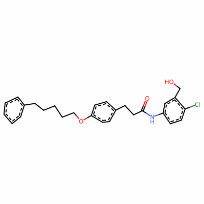 O=C(CCc1ccc(OCCCCCc2ccccc2)cc1)Nc1ccc(Cl)c(CO)c1